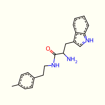 Cc1ccc(CCNC(=O)C(N)Cc2c[nH]c3ccccc23)cc1